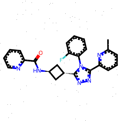 Cc1cccc(-c2nnc([C@H]3C[C@H](NC(=O)c4ccccn4)C3)n2-c2ccccc2F)n1